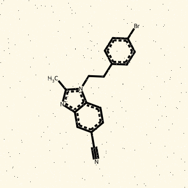 Cc1nc2cc(C#N)ccc2n1CCc1ccc(Br)cc1